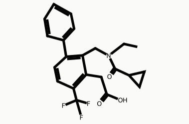 CCN(Cc1c(-c2ccccc2)ccc(C(F)(F)F)c1CC(=O)O)C(=O)C1CC1